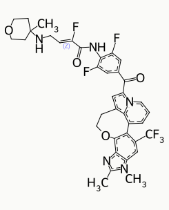 Cc1nc2c3c(c(C(F)(F)F)cc2n1C)-c1cccn2c(C(=O)c4cc(F)c(NC(=O)/C(F)=C/CNC5(C)CCOCC5)c(F)c4)cc(c12)CCO3